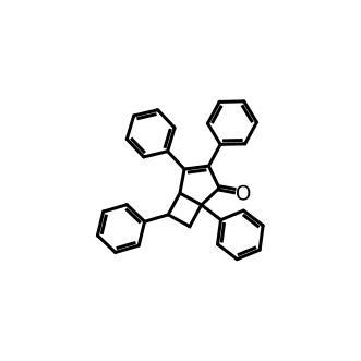 O=C1C(c2ccccc2)=C(c2ccccc2)C2C(c3ccccc3)CC12c1ccccc1